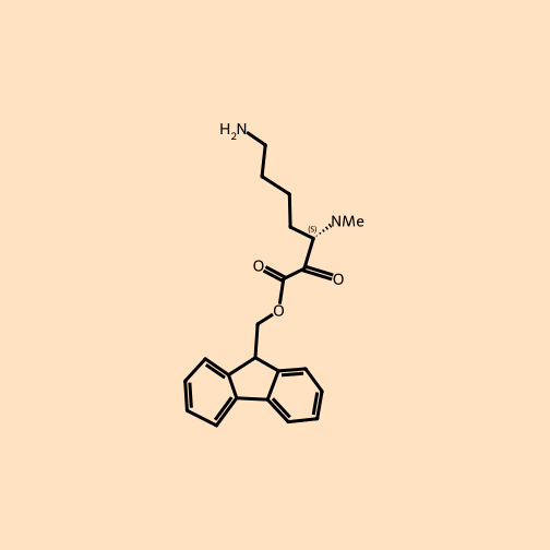 CN[C@@H](CCCCN)C(=O)C(=O)OCC1c2ccccc2-c2ccccc21